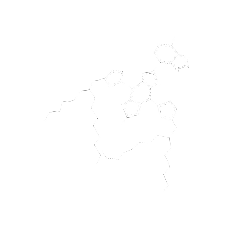 CCCCCCCCC(CCCCCC)Cc1ccc(-c2c3cc(-c4ccc(C)c5snnc45)sc3c(-c3ccc(CC(CCCCCC)CCCCCCCC)s3)c3cc(C)sc23)s1